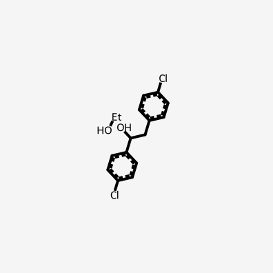 CCO.OC(Cc1ccc(Cl)cc1)c1ccc(Cl)cc1